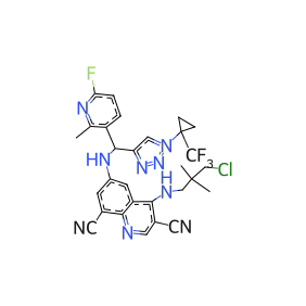 Cc1nc(F)ccc1C(Nc1cc(C#N)c2ncc(C#N)c(NCC(C)(C)CCl)c2c1)c1cn(C2(C(F)(F)F)CC2)nn1